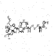 CSC[C@H]1O[C@@H](n2cnc3c(NCCCNB(C)O)ncnc32)[C@@H]2OC(C)(C)O[C@@H]21